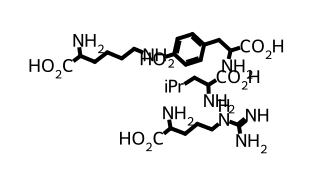 CC(C)CC(N)C(=O)O.N=C(N)NCCCC(N)C(=O)O.NC(Cc1ccc(O)cc1)C(=O)O.NCCCCC(N)C(=O)O